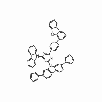 c1ccc(-c2ccc3c4ccc(-c5ccccc5)cc4n(-c4nc(-c5ccc(-c6cccc7c6oc6ccccc67)cc5)nc(-n5c6ccccc6c6ccccc65)n4)c3c2)cc1